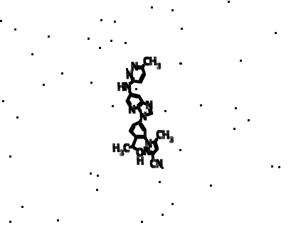 Cc1ccc(Nc2cnc3c(c2)ncn3-c2ccc(C(C)O)c(-n3nc(C#N)cc3C)c2)nn1